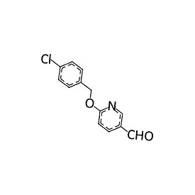 O=Cc1ccc(OCc2ccc(Cl)cc2)nc1